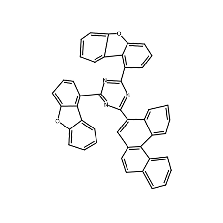 c1ccc2c(c1)ccc1cc(-c3nc(-c4cccc5oc6ccccc6c45)nc(-c4cccc5oc6ccccc6c45)n3)c3ccccc3c12